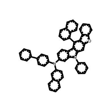 c1ccc(-c2ccc(N(c3ccc4ccccc4c3)c3ccc4c5c(-c6cccc7ccccc67)c6c(cc5n(-c5ccccc5)c4c3)oc3ccccc36)cc2)cc1